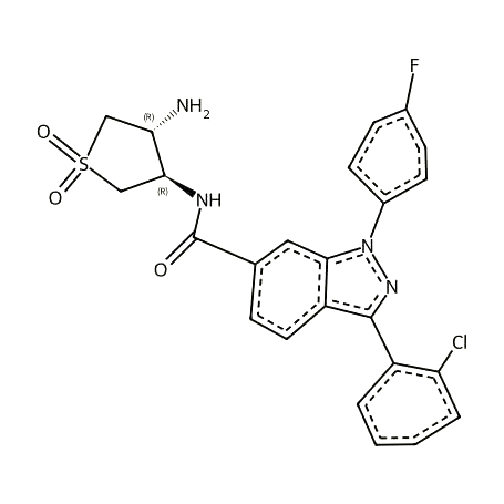 N[C@H]1CS(=O)(=O)C[C@@H]1NC(=O)c1ccc2c(-c3ccccc3Cl)nn(-c3ccc(F)cc3)c2c1